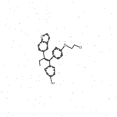 CCC(=C(c1ccc(O)cc1)c1ccc(OCCCl)cc1)c1ccc2occc2c1